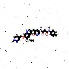 COc1cc2c(Oc3ncc(NC(=O)CC(=O)Nc4ccc(F)cc4)cc3Cl)ccnc2cc1OCC1CCN(C)CC1